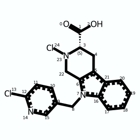 O=C(O)[C@@H]1Cc2c(n(Cc3ccc(Cl)nc3)c3ccccc23)CN1Cl